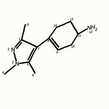 Cc1nn(C)c(C)c1C1=CCC(N)CC1